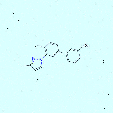 Cc1ccn(-c2cc(-c3cccc(C(C)(C)C)c3)ccc2C)n1